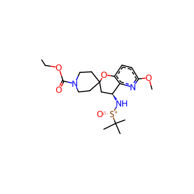 CCOC(=O)N1CCC2(CC1)C[C@H](N[S@@+]([O-])C(C)(C)C)c1nc(OC)ccc1O2